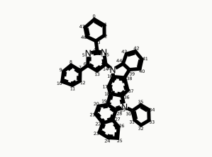 C1=CCC(c2nc(-c3ccccc3)cc(N3c4cc5c6ccc7ccccc7c6n(C6=CCCC=C6)c5cc4C4C=CC=CC43)n2)C=C1